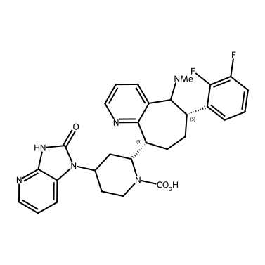 CNC1c2cccnc2[C@@H](C2CC(n3c(=O)[nH]c4ncccc43)CCN2C(=O)O)CC[C@H]1c1cccc(F)c1F